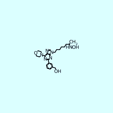 C=C(CCCCCCn1cnc2c(N3CCOCC3)nc(-c3cccc(CO)c3)nc21)NO